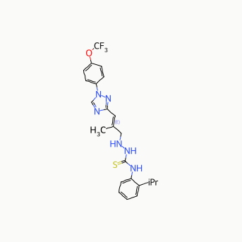 C/C(=C\c1ncn(-c2ccc(OC(F)(F)F)cc2)n1)CNNC(=S)Nc1ccccc1C(C)C